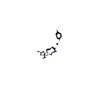 C=C(O)I1(O)(CI2C/C=C/C=C(NC(=O)Oc3ccc(OC)cc3)\C(O)=C\C2=O)C(=O)C(C(N)=O)=C(O)[C@H]1C